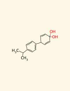 CC(C)c1ccc(C2C=CC(O)(O)C=C2)cc1